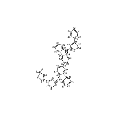 CC1(C)C=CC(c2cccc(-n3c4ccccc4c4cc(-c5ccc6c(c5)c5ccccc5n6-c5cccc(-c6ccccc6)c5)ccc43)c2)=C1